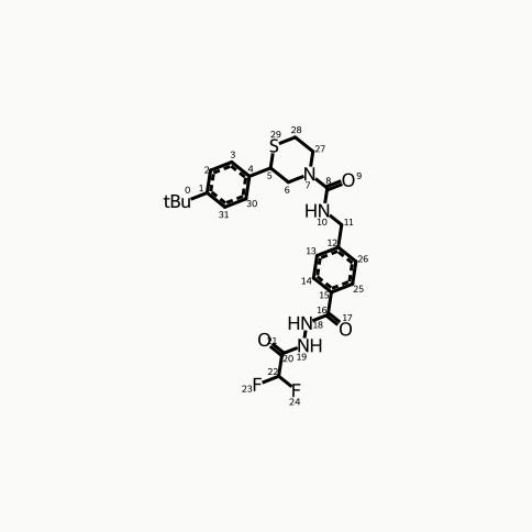 CC(C)(C)c1ccc(C2CN(C(=O)NCc3ccc(C(=O)NNC(=O)C(F)F)cc3)CCS2)cc1